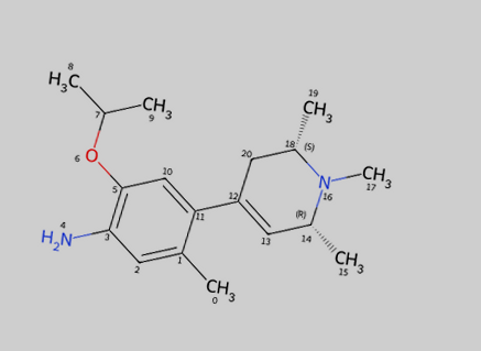 Cc1cc(N)c(OC(C)C)cc1C1=C[C@@H](C)N(C)[C@@H](C)C1